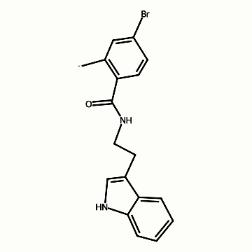 [CH2]c1cc(Br)ccc1C(=O)NCCc1c[nH]c2ccccc12